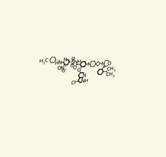 CC(C)c1ccccc1[C@@H]1COCCN1C1CC2(CCN(c3ccc(C(=O)NS(=O)(=O)c4cnc(NC[C@H]5CC[C@@H](C)CC5)c([N+](=O)[O-])c4)c(Oc4cnc5[nH]cc(Cl)c5c4)c3)CC2)C1